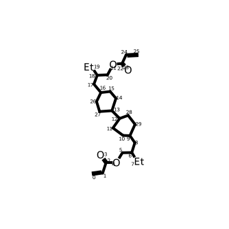 C=CC(=O)OCC(CC)CC1CCC(C2CCC(CC(CC)COC(=O)C=C)CC2)CC1